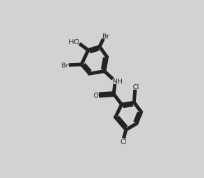 O=C(Nc1cc(Br)c(O)c(Br)c1)c1cc(Cl)ccc1Cl